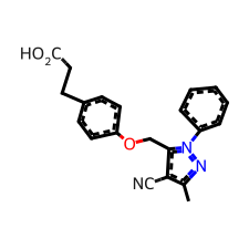 Cc1nn(-c2ccccc2)c(COc2ccc(CCC(=O)O)cc2)c1C#N